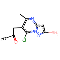 Bc1cc2nc(C)c(CC(=O)OC)c(Cl)n2n1